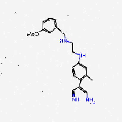 COc1cccc(CNCCNc2ccc(/C(C=N)=C/N)c(C)c2)c1